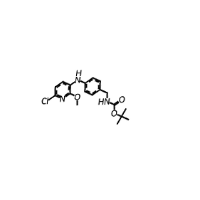 COc1nc(Cl)ccc1Nc1ccc(CNC(=O)OC(C)(C)C)cc1